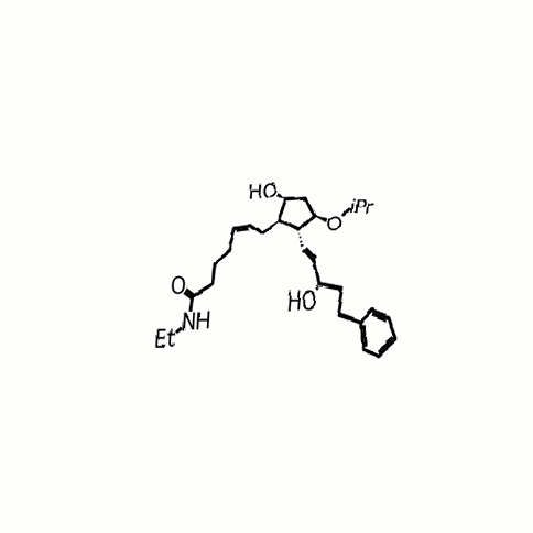 CCNC(=O)CCC/C=C\C[C@@H]1[C@@H](/C=C/[C@@H](O)CCc2ccccc2)[C@H](OC(C)C)C[C@@H]1O